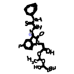 CC(OC(O)CN1C(=O)/C(=N\NC(=S)Nc2ccccc2)c2cc(F)ccc21)OC(O)C(C)(C)C